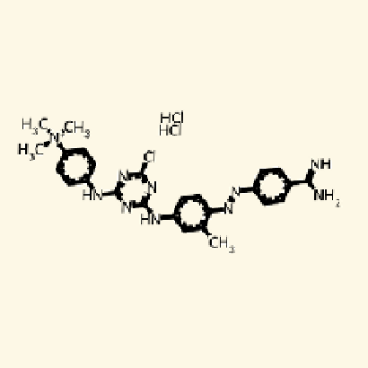 Cc1cc(Nc2nc(Cl)nc(Nc3ccc([N+](C)(C)C)cc3)n2)ccc1N=Nc1ccc(C(=N)N)cc1.Cl.Cl